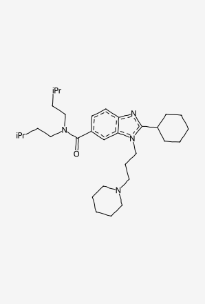 CC(C)CCN(CCC(C)C)C(=O)c1ccc2nc(C3CCCCC3)n(CCCN3CCCCC3)c2c1